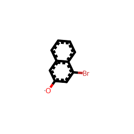 [O]c1cc(Br)c2ccccc2c1